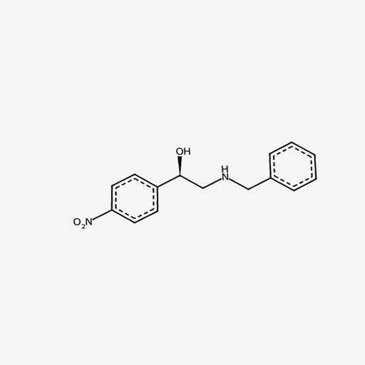 O=[N+]([O-])c1ccc([C@@H](O)CNCc2ccccc2)cc1